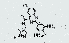 CCn1ncc(CN(C)C(=O)c2nc(-c3cc(N)c4nc[nH]c4c3)nc3ccc(Cl)cc23)c1C